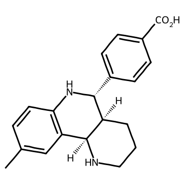 Cc1ccc2c(c1)[C@@H]1NCCC[C@@H]1[C@@H](c1ccc(C(=O)O)cc1)N2